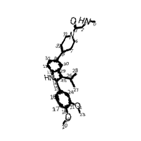 CNCC(=O)N1CCC(c2ccc3[nH]c(-c4ccc(OC)c(OC)c4)c(C(C)C)c3c2)CC1